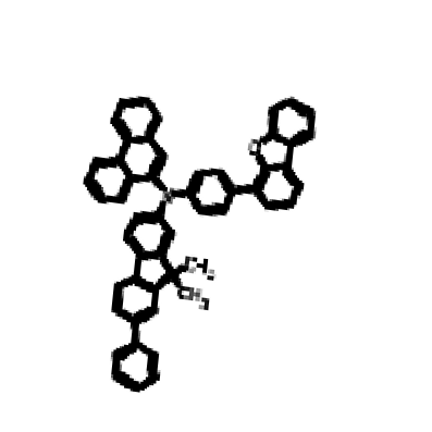 CC1(C)c2cc(-c3ccccc3)ccc2-c2ccc(N(c3ccc(-c4cccc5c4oc4ccccc45)cc3)c3cc4ccccc4c4ccccc34)cc21